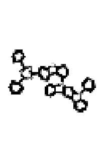 c1ccc(C2=NC(c3ccccc3)NC(c3ccc4c(c3)oc3cccc(-n5c6ccccc6c6cc7c8ccccc8n(-c8ccccc8)c7cc65)c34)=N2)cc1